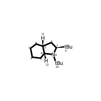 CC(C)(C)[C@@H]1C[C@H]2CCCC[C@H]2N1C(C)(C)C